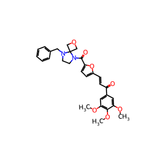 COc1cc(C(=O)/C=C/c2ccc(C(=O)N3CCN(Cc4ccccc4)C34COC4)o2)cc(OC)c1OC